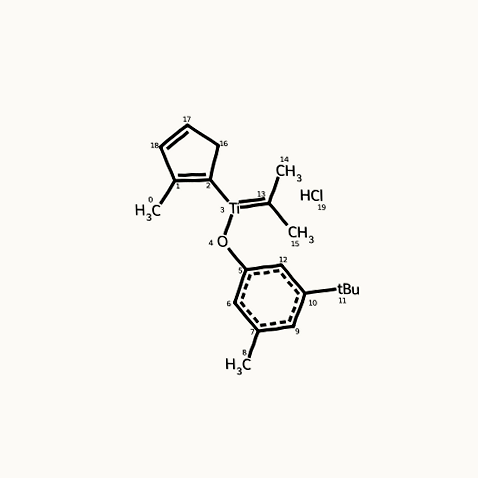 CC1=[C]([Ti]([O]c2cc(C)cc(C(C)(C)C)c2)=[C](C)C)CC=C1.Cl